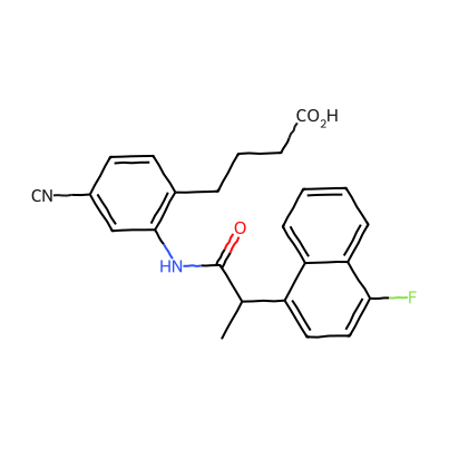 [C-]#[N+]c1ccc(CCCC(=O)O)c(NC(=O)C(C)c2ccc(F)c3ccccc23)c1